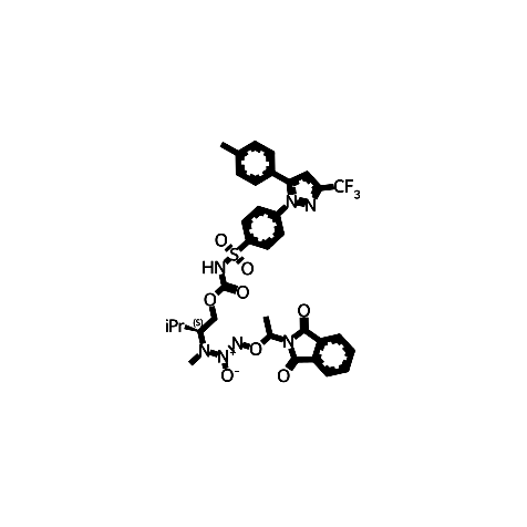 Cc1ccc(-c2cc(C(F)(F)F)nn2-c2ccc(S(=O)(=O)NC(=O)OC[C@H](C(C)C)N(C)[N+]([O-])=NOC(C)N3C(=O)c4ccccc4C3=O)cc2)cc1